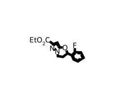 CCOC(=O)c1cc2n(n1)CCC(c1ccccc1F)O2